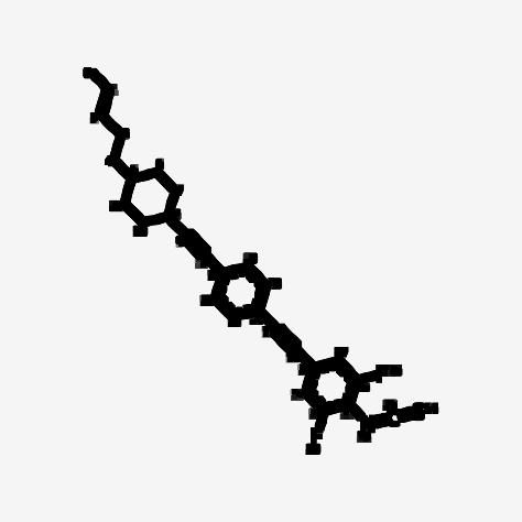 C/C=C/CCC1CCC(C#Cc2ccc(C#Cc3cc(F)c(N=C=S)c(F)c3)cc2)CC1